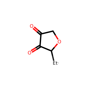 C[CH]C1OCC(=O)C1=O